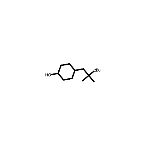 CC(C)(C)C(C)(C)CC1CCC(O)CC1